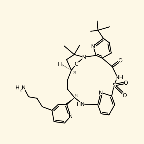 CC(C)(C)c1ccc2c(n1)N1C[C@@H](CC[C@H](c3cc(CCCN)ccn3)Nc3cccc(n3)S(=O)(=O)NC2=O)CC1(C)C